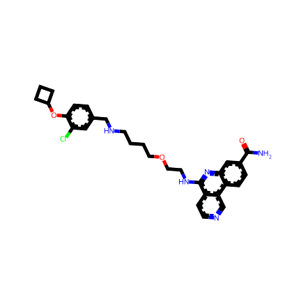 NC(=O)c1ccc2c(c1)nc(NCCOCCCCNCc1ccc(OC3CCC3)c(Cl)c1)c1ccncc12